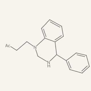 CC(=O)CCN1CNC(c2ccccc2)c2ccccc21